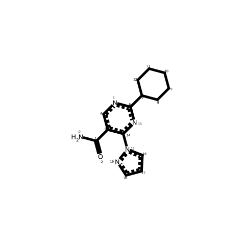 NC(=O)c1cnc(C2CCCCC2)nc1-n1cccn1